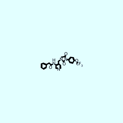 O=C(Cc1ccccc1)Nc1cnccc1CN1CC(=O)N(c2ccc(OC(F)(F)F)cc2)C1=O